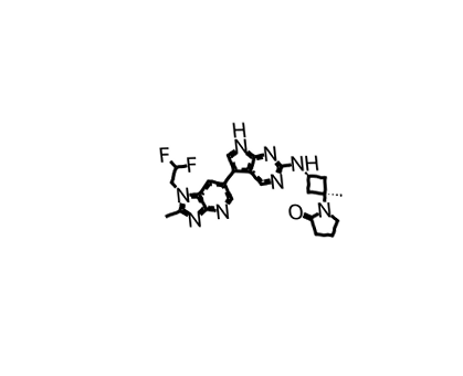 Cc1nc2ncc(-c3c[nH]c4nc(N[C@H]5C[C@](C)(N6CCCC6=O)C5)ncc34)cc2n1CC(F)F